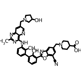 Cc1nc(Nc2cccc(-c3cccc(-c4nc5cc(CN6CCC(C(=O)O)CC6)cc(C#N)c5o4)c3C)c2C)c2ncc(CN3CCC(O)C3)cc2n1